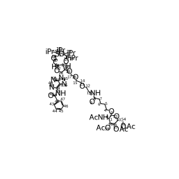 CC(=O)N[C@H]1[C@H](OCCCCC(=O)NCCOCCOCO[C@@H]2[C@@H]3O[Si](C(C)C)(C(C)C)O[Si](C(C)C)(C(C)C)OC[C@H]3O[C@H]2n2cnc3c(NC(=O)c4ccccc4)ncnc32)O[C@H](COC(C)=O)[C@H](OC(C)=O)[C@@H]1OC(C)=O